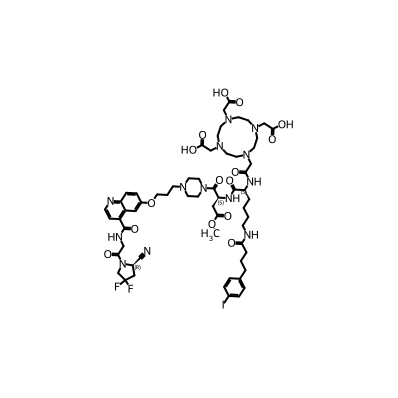 COC(=O)C[C@H](NC(=O)[C@H](CCCCNC(=O)CCCc1ccc(I)cc1)NC(=O)CN1CCN(CC(=O)O)CCN(CC(=O)O)CCN(CC(=O)O)CC1)C(=O)N1CCN(CCCOc2ccc3nccc(C(=O)NCC(=O)N4CC(F)(F)C[C@@H]4C#N)c3c2)CC1